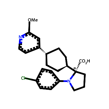 COc1cc([C@H]2CC[C@H]([C@@]3(C(=O)O)CCCN3c3ccc(Cl)cc3)CC2)ccn1